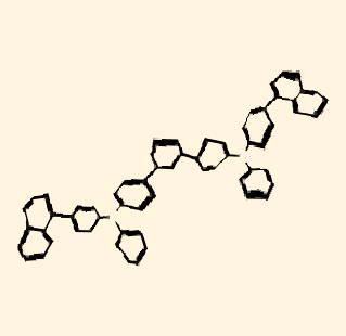 C1=CCCC(N(c2ccc(-c3cccc4ccccc34)cc2)c2ccc(C3C=C(c4ccc(N(c5ccccc5)c5ccc(-c6cccc7ccccc67)cc5)cc4)C=CC3)cc2)=C1